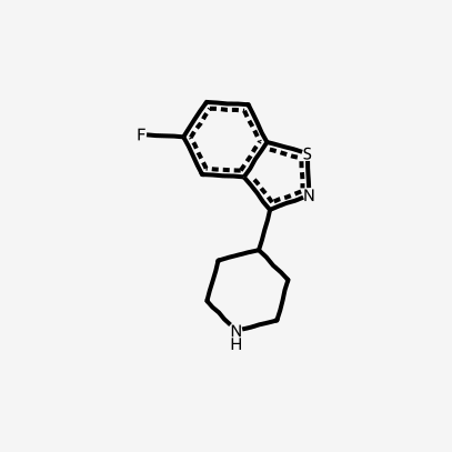 Fc1ccc2snc(C3CCNCC3)c2c1